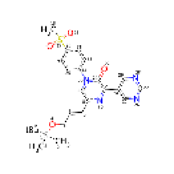 CC(C)(C)[Si](C)(C)OCC=Cc1cn(-c2ccc(S(C)(=O)=O)cc2)c(=O)c(-c2cncnc2)n1